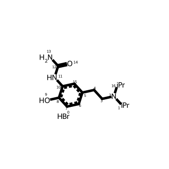 Br.CC(C)N(CCc1ccc(O)c(NC(N)=O)c1)C(C)C